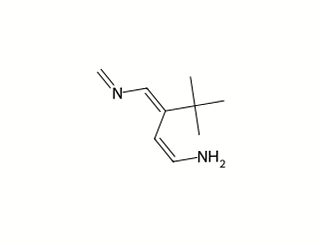 C=N/C=C(\C=C/N)C(C)(C)C